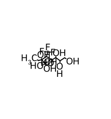 CCC(O)(C(C(O)C(O)C(O)CO)C(F)(F)F)C(O)(O)O